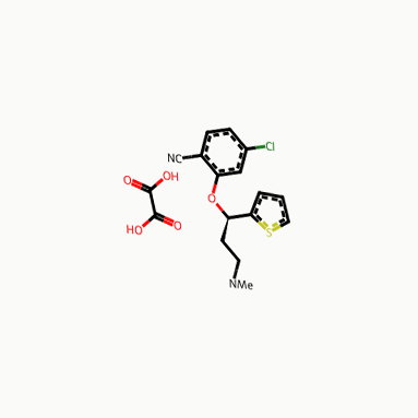 CNCC[C@@H](Oc1cc(Cl)ccc1C#N)c1cccs1.O=C(O)C(=O)O